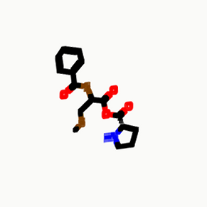 CSCC(SC(=O)c1ccccc1)C(=O)OC(=O)[C@@H]1CCCN1